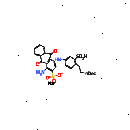 CCCCCCCCCCCCc1ccc(Nc2cc(S(=O)(=O)[O-])c(N)c3c2C(=O)c2ccccc2C3=O)cc1S(=O)(=O)O.[Na+]